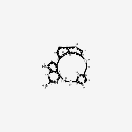 Nc1nc2c3c(c[nH]c3n1)-c1ccc3ncc(cc3c1)OCc1cnc(s1)CN2